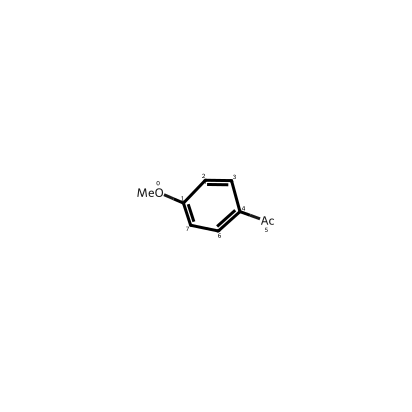 COc1[c]cc(C(C)=O)cc1